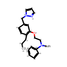 CCCN(CCOc1cc(Cn2cccn2)ccc1CCC(=O)O)c1ccccc1